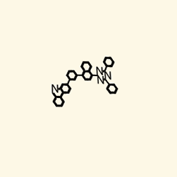 c1ccc(-c2nc(-c3ccccc3)nc(-c3ccc(-c4cccc(-c5ccc6c(c5)ncc5ccccc56)c4)c4ccccc34)n2)cc1